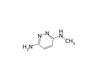 CNc1ccc(N)nn1